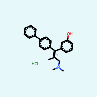 C/C(CN(C)C)=C(\c1ccc(-c2ccccc2)cc1)c1cccc(O)c1.Cl